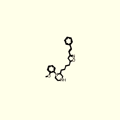 COc1ccccc1N1CCNCC1CCCCC1CC(C=Cc2ccccc2)=NO1